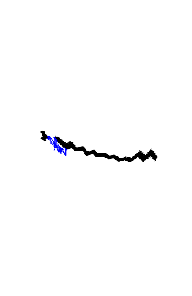 CCCCCCCCCCCCCCCCc1cn(C(C)C)nn1